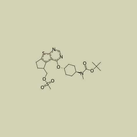 CN(C(=O)OC(C)(C)C)[C@H]1CC[C@H](Oc2ncnc3sc4c(c23)C(COS(C)(=O)=O)CC4)CC1